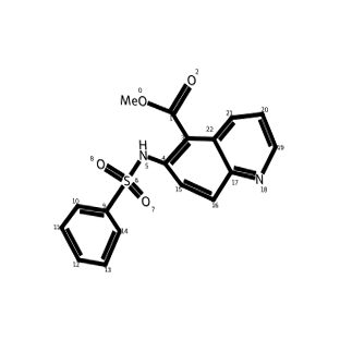 COC(=O)c1c(NS(=O)(=O)c2ccccc2)ccc2ncccc12